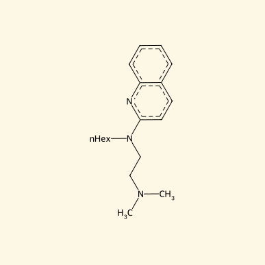 CCCCCCN(CCN(C)C)c1ccc2ccccc2n1